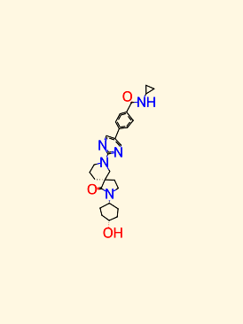 O=C(NC1CC1)c1ccc(-c2cnc(N3CCC[C@@]4(CCN([C@H]5CC[C@@H](O)CC5)C4=O)C3)nc2)cc1